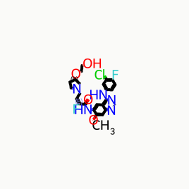 COc1cc2ncnc(Nc3ccc(F)c(Cl)c3)c2cc1NC(=O)/C(F)=C\CN1CC[C@@H](OCCO)C1